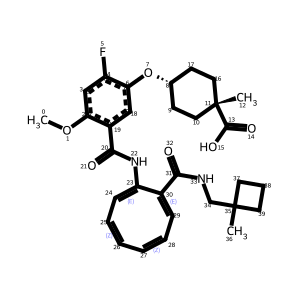 COc1cc(F)c(O[C@H]2CC[C@@](C)(C(=O)O)CC2)cc1C(=O)NC1=C/C=C\C=C/C=C\1C(=O)NCC1(C)CCC1